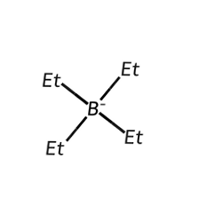 CC[B-](CC)(CC)CC